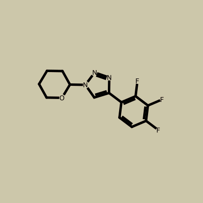 Fc1ccc(-c2cn(C3CCCCO3)nn2)c(F)c1F